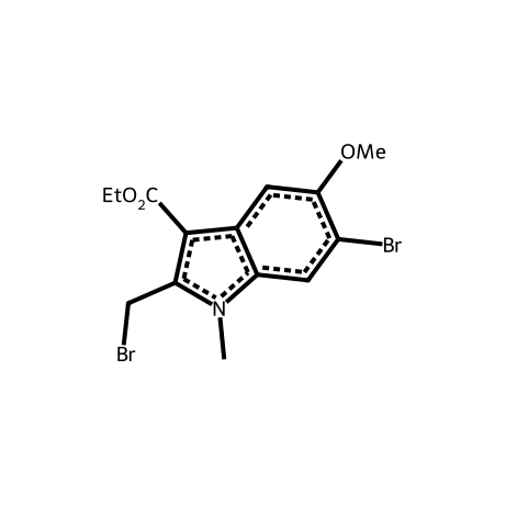 CCOC(=O)c1c(CBr)n(C)c2cc(Br)c(OC)cc12